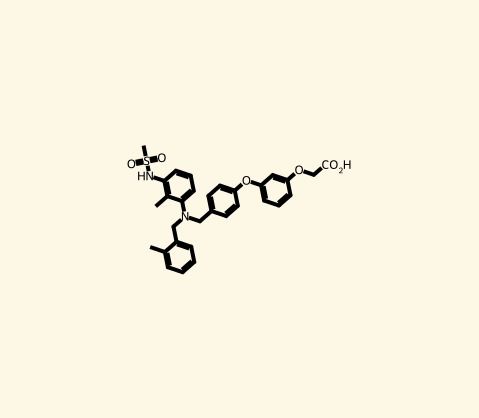 Cc1ccccc1CN(Cc1ccc(Oc2cccc(OCC(=O)O)c2)cc1)c1cccc(NS(C)(=O)=O)c1C